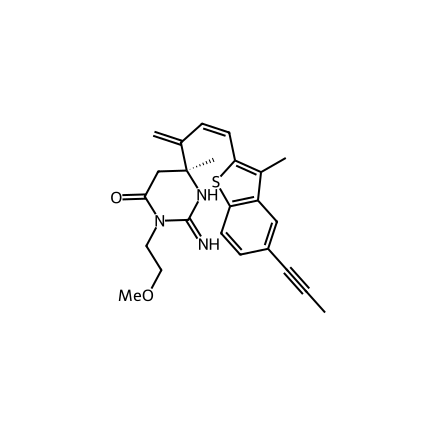 C=C(/C=C\c1sc2ccc(C#CC)cc2c1C)[C@]1(C)CC(=O)N(CCOC)C(=N)N1